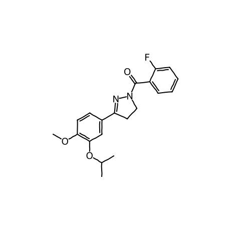 COc1ccc(C2=NN(C(=O)c3ccccc3F)CC2)cc1OC(C)C